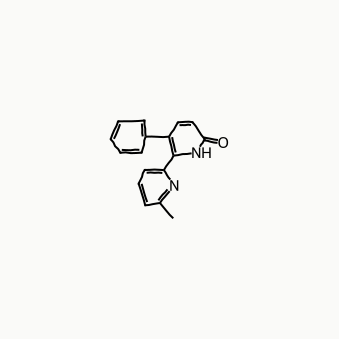 Cc1cccc(-c2[nH]c(=O)ccc2-c2ccccc2)n1